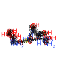 CCC(OC(C)COO)N(/C=C(\N)C#CCNC(=O)CCCCCNC(=O)C(CSSCCCC(=O)OCC#Cc1cn(C2OC(COOP(=O)(O)OP(=O)(O)O)C(O)C2O)c2ncnc(N)c12)NC(=O)CCCCCN1/C(=C/C=C/C=C/C2=[N+](CC)c3ccc(S(=O)(=O)O)cc3C2(C)C)C(C)(C)c2cc(S(=O)(=O)O)ccc21)CON